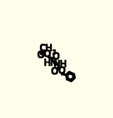 CC(=O)OCC(=O)NNC(=O)OCc1ccccc1